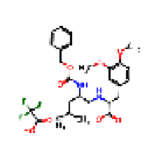 COc1ccc(C[C@H](NC[C@@H](CC(C)C)NC(=O)OCc2ccccc2)C(=O)O)cc1OC.O=C(O)C(F)(F)F